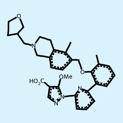 COc1c(C(=O)O)cnn1-c1cccc(-c2cccc(C)c2OCc2ccc3c(c2C)CCN(CC2CCOC2)C3)n1